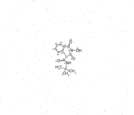 CC(C)(C)NC(=O)C1C(=O)N(O)C(=O)c2ccccc21